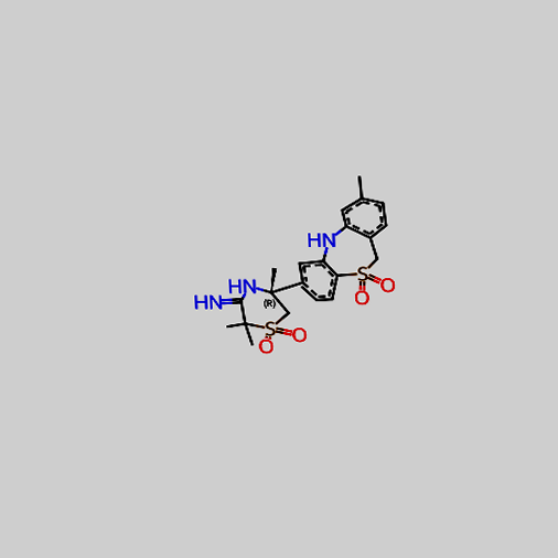 Cc1ccc2c(c1)Nc1cc([C@]3(C)CS(=O)(=O)C(C)(C)C(=N)N3)ccc1S(=O)(=O)C2